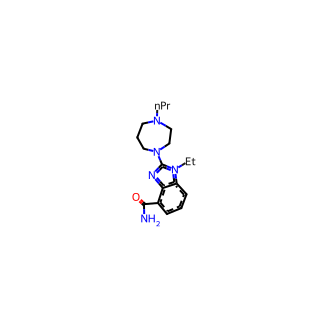 CCCN1CCCN(c2nc3c(C(N)=O)cccc3n2CC)CC1